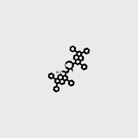 C=C/C(=C\C1=C\SC/C=C\C(C2C=C(c3ccccc3)c3ccc4c(-c5ccccc5)cc(C5=CCCCC5)c5c4c3C2C=C5)=C/C1I)c1cc(-c2ccccc2)c2ccc3c(C4=CC=CCC4)cc(-c4ccccc4)c4c3c2c1CC4